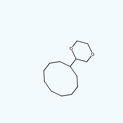 C1CCCCC(C2COCCO2)CCCC1